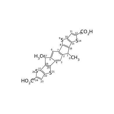 CC1c2cc3c(cc2-c2sc4cc(C(=O)O)sc4c21)C(C)c1c-3sc2cc(C(=O)O)sc12